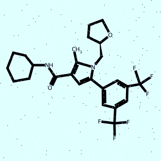 Cc1c(C(=O)NC2CCCCC2)cc(-c2cc(C(F)(F)F)cc(C(F)(F)F)c2)n1C[C@H]1CCCO1